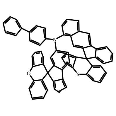 c1ccc(-c2ccc(N(c3ccc4c(c3)C3(c5ccccc5Oc5ccccc53)c3ccccc3-4)c3cccc4cc5c(cc34)C3(c4ccccc4Sc4ccccc43)c3ccccc3-5)cc2)cc1